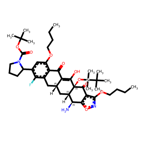 CCCCOc1cc(C2CCCN2C(=O)OC(C)(C)C)c(F)c2c1C(=O)C1=C(O)[C@]3(O[Si](C)(C)C(C)(C)C)C(=O)c4c(OCCCC)noc4[C@@H](N)[C@@H]3C[C@@H]1C2